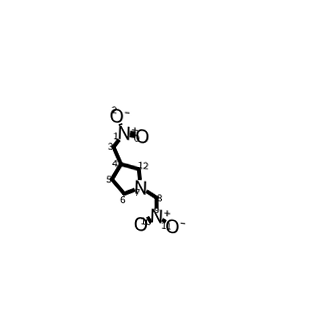 O=[N+]([O-])CC1CCN(C[N+](=O)[O-])C1